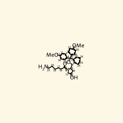 COc1ccc(C(OCC2C[C@@H](O)CN2C(=O)CCCCCN)(c2ccccc2)c2ccc(OC)cc2)cc1